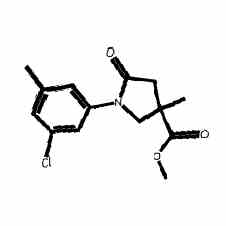 COC(=O)C1(C)CC(=O)N(c2cc(C)cc(Cl)c2)C1